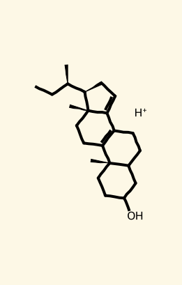 CC[C@@H](C)[C@H]1CC=C2C3=C(CC[C@@]21C)[C@@]1(C)CCC(O)CC1CC3.[H+]